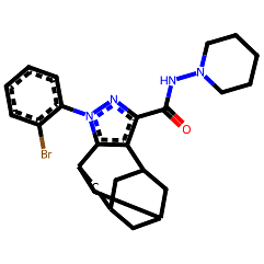 O=C(NN1CCCCC1)c1nn(-c2ccccc2Br)c2c1C1CC3CC(C1)CC2C3